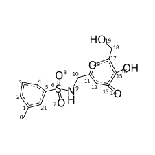 Cc1cccc(S(=O)(=O)NCc2cc(=O)c(O)c(CO)o2)c1